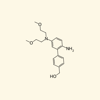 COCCN(CCOC)c1ccc(N)c(-c2ccc(CO)cc2)c1